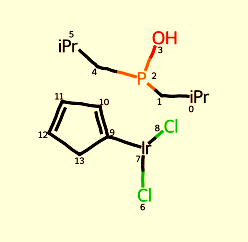 CC(C)CP(O)CC(C)C.[Cl][Ir]([Cl])[C]1=CC=CC1